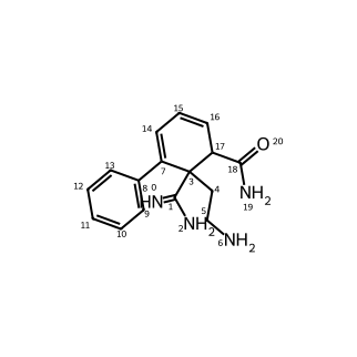 N=C(N)C1(CCN)C(c2ccccc2)=CC=CC1C(N)=O